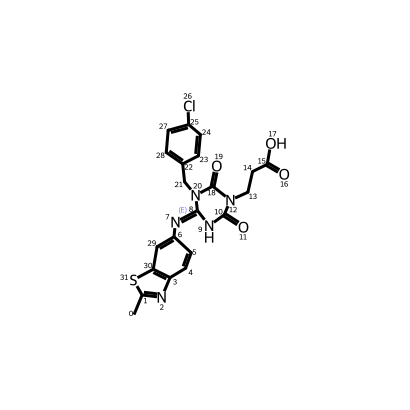 Cc1nc2ccc(/N=c3\[nH]c(=O)n(CCC(=O)O)c(=O)n3Cc3ccc(Cl)cc3)cc2s1